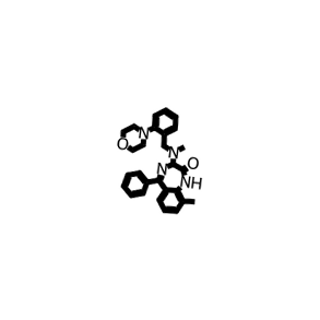 Cc1cccc2c1NC(=O)C(N(C)Cc1ccccc1N1CCOCC1)N=C2c1ccccc1